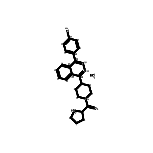 Cl.O=C(C1CCCN1)N1CCC(c2nnc(-c3ccc(Cl)cc3)c3ccccc23)CC1